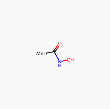 COC(=O)NO